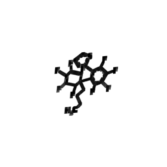 CCCCC1(c2c(F)c(F)c(F)c(F)c2-c2cccs2)C(F)=C(F)C(F)=C(F)C1F